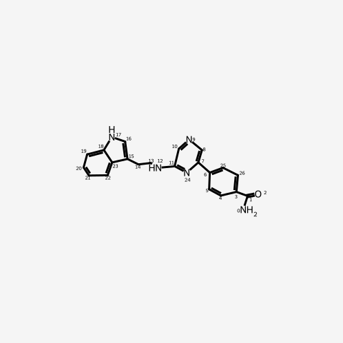 NC(=O)c1ccc(-c2cncc(NCCc3c[nH]c4ccccc34)n2)cc1